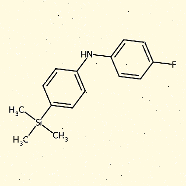 C[Si](C)(C)c1ccc(Nc2ccc(F)cc2)cc1